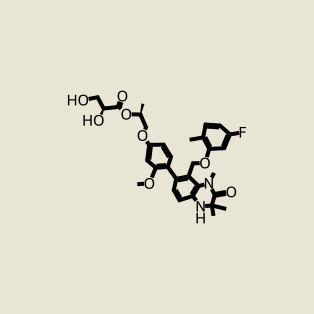 COc1cc(OC[C@H](C)OC(=O)[C@@H](O)CO)ccc1-c1ccc2c(c1COc1cc(F)ccc1C)N(C)C(=O)C(C)(C)N2